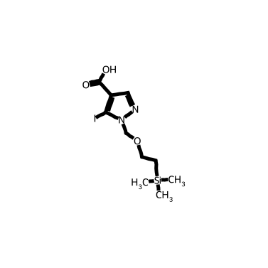 C[Si](C)(C)CCOCn1ncc(C(=O)O)c1I